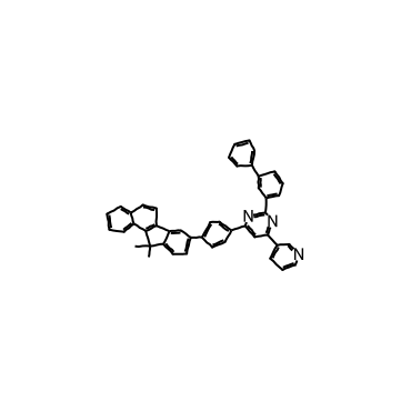 CC1(C)c2ccc(-c3ccc(-c4cc(-c5cccnc5)nc(-c5cccc(-c6ccccc6)c5)n4)cc3)cc2-c2ccc3ccccc3c21